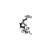 CC(C)(C)C[CH]n1ccc(S(N)(=O)=O)n1